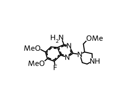 COCC1CNCCN1c1nc(N)c2cc(OC)c(OC)c(F)c2n1